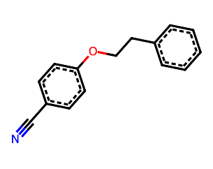 N#Cc1ccc(OCCc2ccccc2)cc1